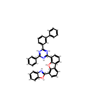 c1ccc(-c2cccc(-c3nc(-c4ccccc4)nc(-c4cccc5c4oc4c(-c6nc7ccccc7o6)cccc45)n3)c2)cc1